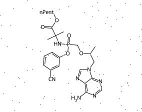 CCCCCOC(=O)C(C)(C)NP(=O)(COC(C)Cn1cnc2c(N)ncnc21)Oc1cccc(C#N)c1